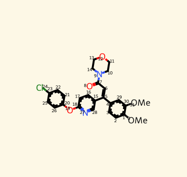 COc1ccc(C(=CC(=O)N2CCOCC2)c2ccc(Oc3ccc(Cl)cc3)nc2)cc1OC